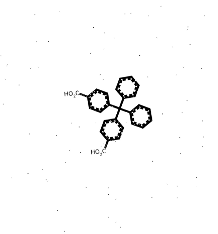 O=C(O)c1ccc(C(c2ccccc2)(c2ccccc2)c2ccc(C(=O)O)cc2)cc1